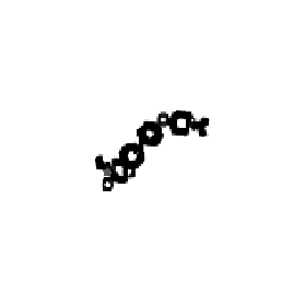 CCN1CC2(CCN(c3ccc(OC4CCN(C(C)C)CC4)cc3)CC2)OCC1=O